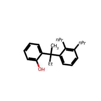 CCCc1cccc(C(C)(CC)c2ccccc2O)c1CCC